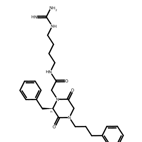 N=C(N)NCCCCNC(=O)CN1C(=O)CN(CCCc2ccccc2)C(=O)[C@H]1Cc1ccccc1